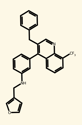 FC(F)(F)c1cccc2c(-c3cccc(NCc4ccoc4)c3)c(Cc3ccccc3)cnc12